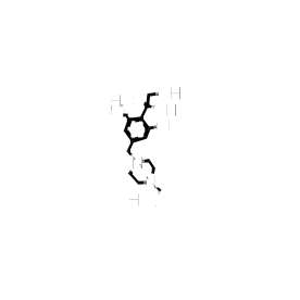 CCN1CCN(Cc2cc(Cl)c(C(C)(C)CC)c(Cl)c2)CC1